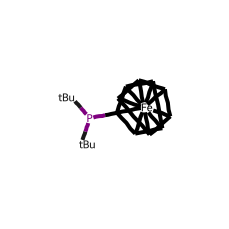 CC(C)(C)P(C(C)(C)C)[C]12[CH]3[CH]4[CH]5[CH]1[Fe]45321678[CH]2[CH]1[CH]6[CH]7[CH]28